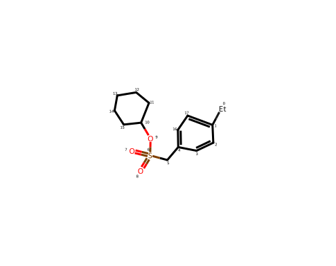 CCc1ccc(CS(=O)(=O)OC2CCCCC2)cc1